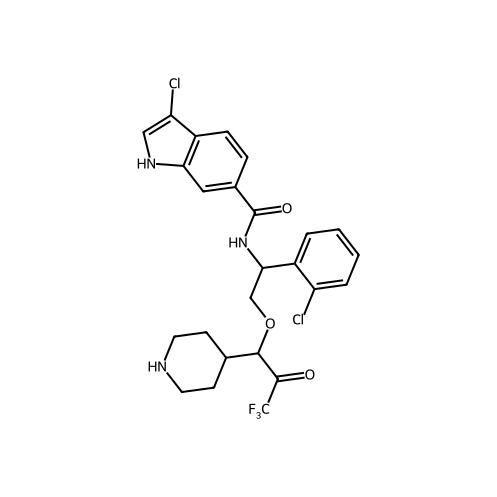 O=C(NC(COC(C(=O)C(F)(F)F)C1CCNCC1)c1ccccc1Cl)c1ccc2c(Cl)c[nH]c2c1